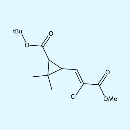 COC(=O)C(Cl)=CC1C(C(=O)OC(C)(C)C)C1(C)C